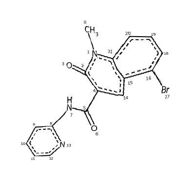 Cn1c(=O)c(C(=O)Nc2ccccn2)cc2c(Br)cccc21